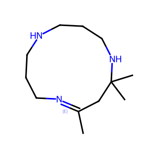 C/C1=N\CCCNCCCNC(C)(C)C1